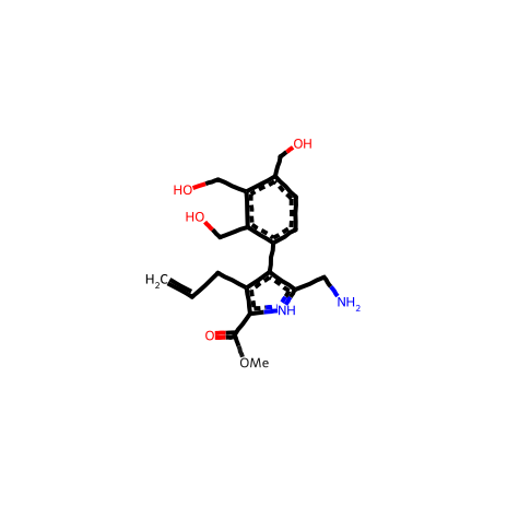 C=CCc1c(C(=O)OC)[nH]c(CN)c1-c1ccc(CO)c(CO)c1CO